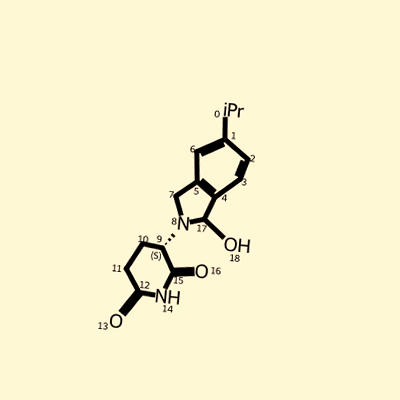 CC(C)c1ccc2c(c1)CN([C@H]1CCC(=O)NC1=O)C2O